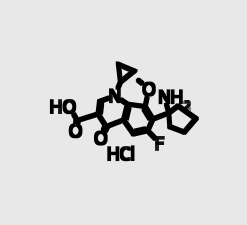 COc1c(C2(N)CCCC2)c(F)cc2c(=O)c(C(=O)O)cn(C3CC3)c12.Cl